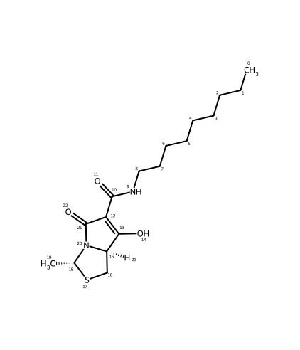 CCCCCCCCCNC(=O)C1=C(O)[C@H]2CS[C@H](C)N2C1=O